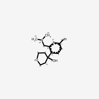 CC(C)c1ccc(C2(O)CCOCC2)c(CN(C)C)n1